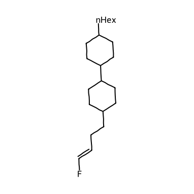 CCCCCCC1CCC(C2CCC(CC/C=C/F)CC2)CC1